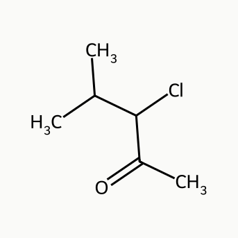 CC(=O)C(Cl)C(C)C